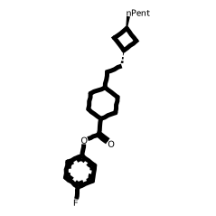 CCCCC[C@H]1C[C@H](CCC2CCC(C(=O)Oc3ccc(F)cc3)CC2)C1